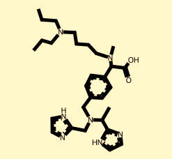 CCCN(CCC)CCCCN(C)C(C(=O)O)c1ccc(CN(Cc2ncc[nH]2)C(C)c2ncc[nH]2)cc1